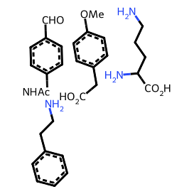 CC(=O)Nc1ccc(C=O)cc1.COc1ccc(CC(=O)O)cc1.NCCCC(N)C(=O)O.NCCc1ccccc1